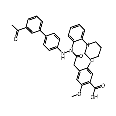 COc1cc(CC(=O)N(Nc2ccc(-c3cccc(C(C)=O)c3)cc2)c2ccccc2N2CCCCC2)c(Cl)cc1C(=O)O